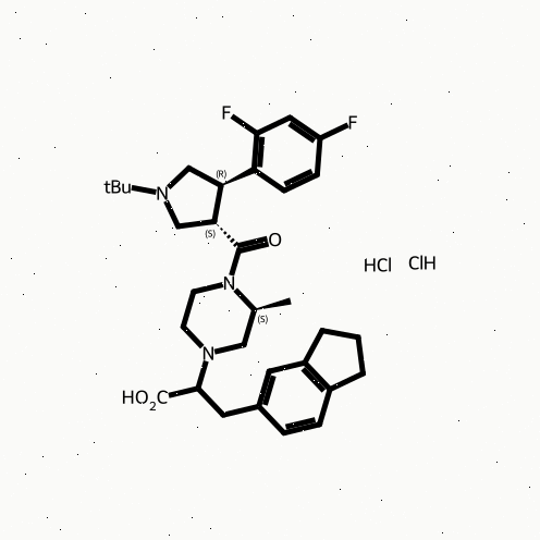 C[C@H]1CN(C(Cc2ccc3c(c2)CCC3)C(=O)O)CCN1C(=O)[C@@H]1CN(C(C)(C)C)C[C@H]1c1ccc(F)cc1F.Cl.Cl